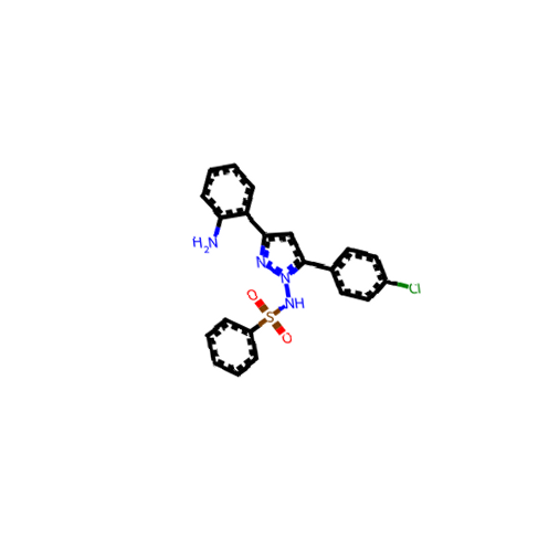 Nc1ccccc1-c1cc(-c2ccc(Cl)cc2)n(NS(=O)(=O)c2ccccc2)n1